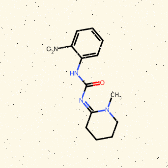 CN1CCCC/C1=N/C(=O)Nc1ccccc1[N+](=O)[O-]